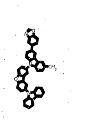 Cc1ccc2c(c1)c1cc(-c3ccc4ocnc4c3)ccc1n2-c1ccc2oc3ccc(-n4c5ccccc5c5ccccc54)cc3c2c1